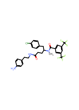 CN(C(=O)c1cc(C(F)(F)F)cc(C(F)(F)F)c1)C(CCC(=O)NCCc1ccc(N)cc1)Cc1ccc(Cl)cc1